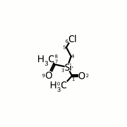 CC(=O)[Si](CCCl)C(C)=O